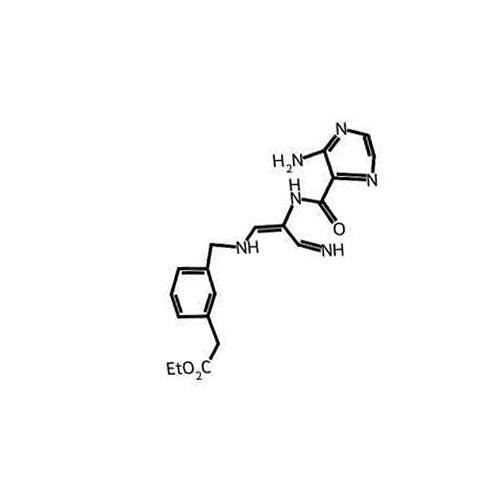 CCOC(=O)Cc1cccc(CN/C=C(\C=N)NC(=O)c2nccnc2N)c1